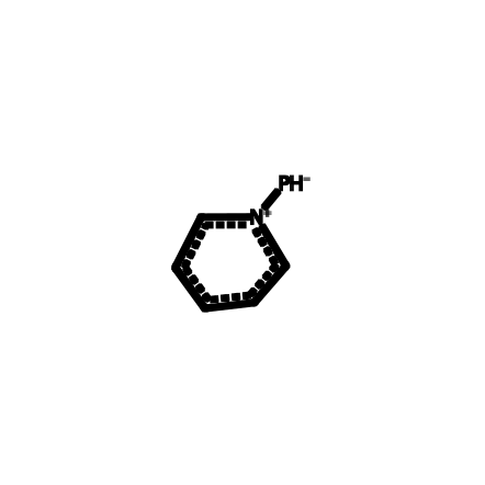 [PH-][n+]1ccccc1